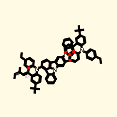 C=C/C(=C\C(C)=C/C)c1cc(C(C)(C)C)ccc1N(c1ccc(CC)cc1)c1ccc2c3cc4c(cc3n3c5ccccc5c1c23)c1ccc(N(c2ccc(CC)cc2)c2ccc(C(C)(C)C)cc2-c2cccc(C)c2)c2c3ccccc3n4c12